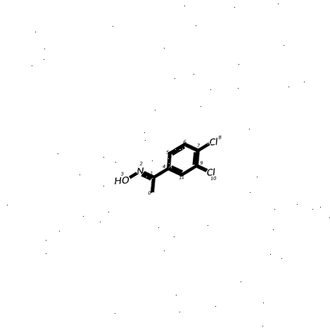 C/C(=N\O)c1ccc(Cl)c(Cl)c1